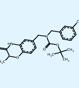 CC1Oc2ccc(CN(Cc3cccc(Cl)c3)C(=O)OC(C)(C)C)cc2NC1=O